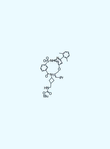 Cc1cccc(C)c1-c1cc2nc(n1)NS(=O)(=O)c1cccc(c1)C(=O)N(C1CC(CNC(=O)OC(C)(C)C)C1)[C@H](CC(C)C)CO2